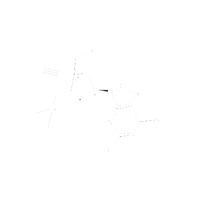 [2H]C1([2H])[C@H](n2cnc3c(N)nc(F)nc32)O[C@](C#C)(CO)[C@H]1O[Si](C)(C)C(C)(C)C